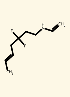 C=CNCCC(F)(F)C/C=C/C